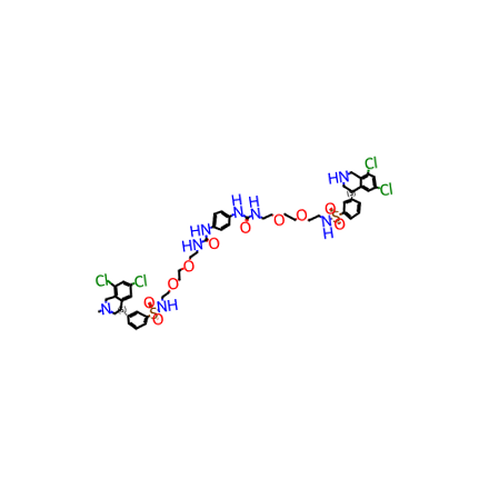 CN1Cc2c(Cl)cc(Cl)cc2[C@H](c2cccc(S(=O)(=O)NCCOCCOCCNC(=O)Nc3ccc(NC(=O)NCCOCCOCCNS(=O)(=O)c4cccc([C@@H]5CNCc6c(Cl)cc(Cl)cc65)c4)cc3)c2)C1